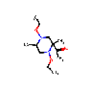 CCON1CC(C)(C(C)=O)N(OCC)CC1C